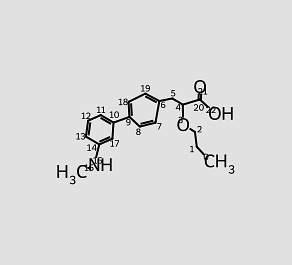 CCCOC(Cc1ccc(-c2cccc(NC)c2)cc1)C(=O)O